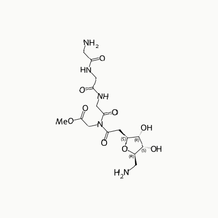 COC(=O)CN(C(=O)CNC(=O)CNC(=O)CN)C(=O)C[C@@H]1O[C@H](CN)[C@@H](O)[C@H]1O